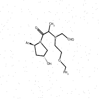 CC(=O)[C@@H]1C[C@@H](O)CN1C(=O)C(C)N(CC=O)CCOCP